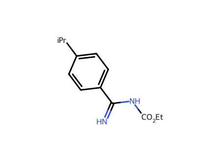 CCOC(=O)NC(=N)c1ccc(C(C)C)cc1